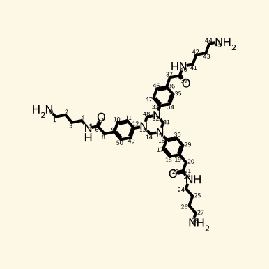 NCCCCNC(=O)Cc1ccc(N2CN(c3ccc(CC(=O)NCCCCN)cc3)CN(c3ccc(CC(=O)NCCCCN)cc3)C2)cc1